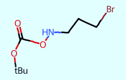 CC(C)(C)OC(=O)ONCCCBr